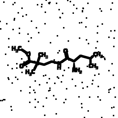 COC(=O)C(C)(C)CCNC(=O)[C@@H](N)CC(C)C